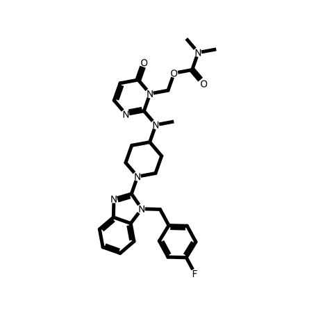 CN(C)C(=O)OCn1c(N(C)C2CCN(c3nc4ccccc4n3Cc3ccc(F)cc3)CC2)nccc1=O